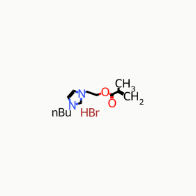 Br.C=C(C)C(=O)OCCN1C=CN(CCCC)C1